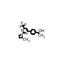 C=C(O)c1ccc(-c2cc(C(F)(F)F)nc(N3CC[C@@H]3C)n2)cc1